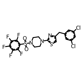 O=S(=O)(c1c(F)c(F)c(F)c(F)c1F)N1CCN(c2nc(Cc3cc(Cl)cc(Cl)c3)cs2)CC1